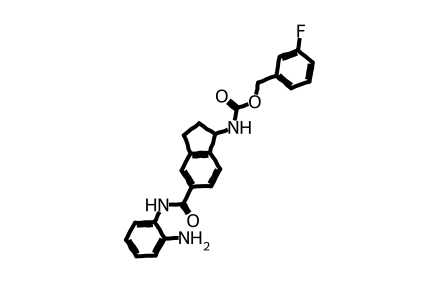 Nc1ccccc1NC(=O)c1ccc2c(c1)CCC2NC(=O)OCc1cccc(F)c1